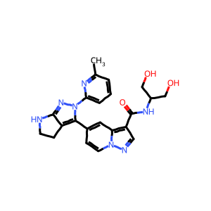 Cc1cccc(-n2nc3c(c2-c2ccn4ncc(C(=O)NC(CO)CO)c4c2)CCN3)n1